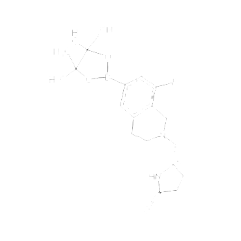 CC1(C)OB(c2cc(F)c3c(c2)CCN(C[C@@H]2CCC(=O)N2)C3)OC1(C)C